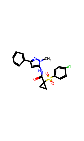 Cn1nc(-c2ccccc2)cc1NC(=O)C1(S(=O)(=O)c2ccc(Cl)cc2)CC1